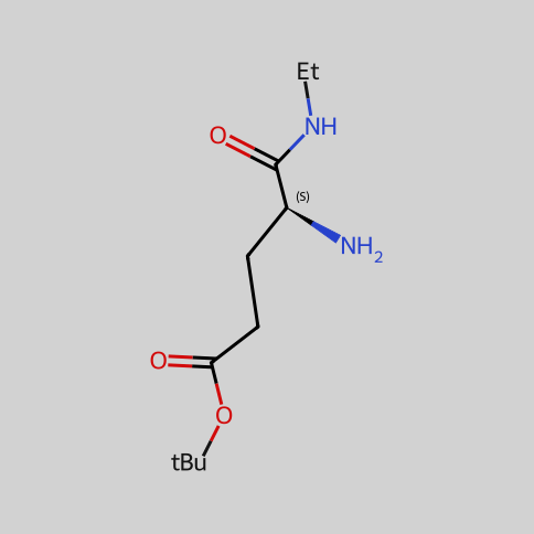 CCNC(=O)[C@@H](N)CCC(=O)OC(C)(C)C